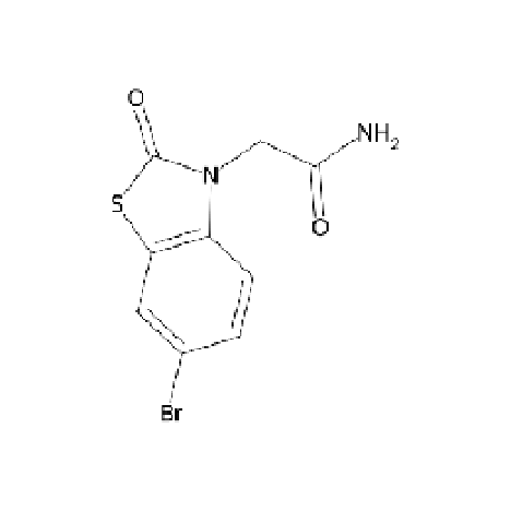 NC(=O)Cn1c(=O)sc2cc(Br)ccc21